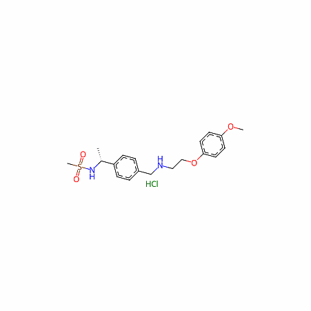 COc1ccc(OCCNCc2ccc([C@@H](C)NS(C)(=O)=O)cc2)cc1.Cl